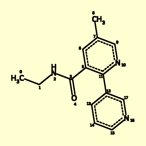 CCNC(=O)c1cc(C)cnc1-c1cccnc1